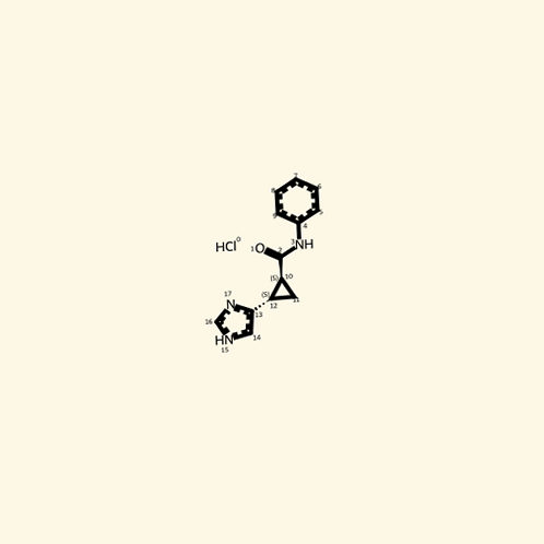 Cl.O=C(Nc1ccccc1)[C@H]1C[C@@H]1c1c[nH]cn1